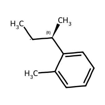 C[CH][C@@H](C)c1ccccc1C